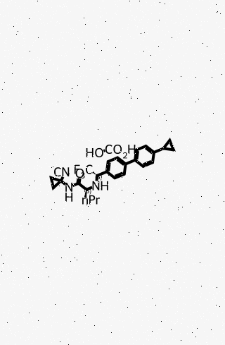 CCC[C@H](N[C@@H](c1ccc(-c2ccc(C3CC3)cc2)cc1)C(F)(F)F)C(=O)NC1(C#N)CC1.O=C(O)O